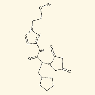 CC(C)OCCn1ccc(NC(=O)C(CC2CCCC2)N2CC(=O)CC2=O)n1